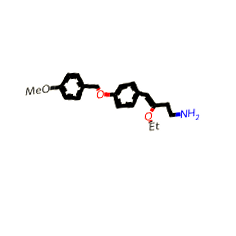 CCOC(=Cc1ccc(OCc2ccc(OC)cc2)cc1)CCN